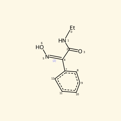 CCNC(=O)/C(=N\O)c1ccccc1